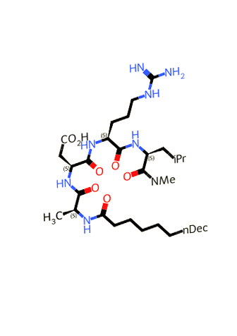 CCCCCCCCCCCCCCCC(=O)N[C@@H](C)C(=O)N[C@@H](CC(=O)O)C(=O)N[C@@H](CCCNC(=N)N)C(=O)N[C@@H](CC(C)C)C(=O)NC